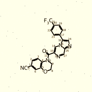 N#Cc1ccc2c(c1)OCCN2C(=O)c1cn2c(-c3ccc(C(F)(F)F)cc3)cnc2cn1